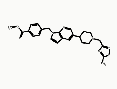 COC(=O)c1ccc(Cn2ccc3cc(C4CCN(Cc5noc(C)n5)CC4)cnc32)cc1